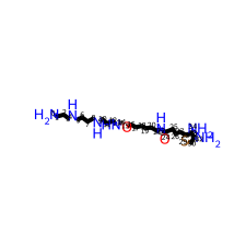 NCCCNCCCCNCCCNCOCCCCCCNC(=O)CCCC1SCC(N)[C@@H]1N